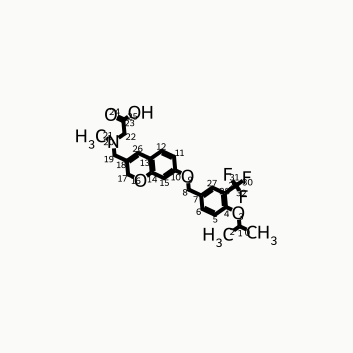 CC(C)Oc1ccc(COc2ccc3c(c2)OCC(CN(C)CC(=O)O)=C3)cc1C(F)(F)F